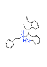 C=Cc1ccccc1C(CC)c1c(NCCc2ccccc2)[nH]c2ccccc12